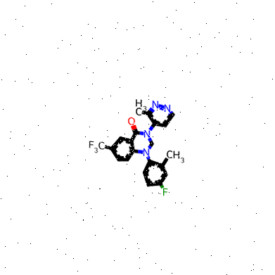 Cc1cc(F)ccc1N1CN(c2ccnnc2C)C(=O)c2cc(C(F)(F)F)ccc21